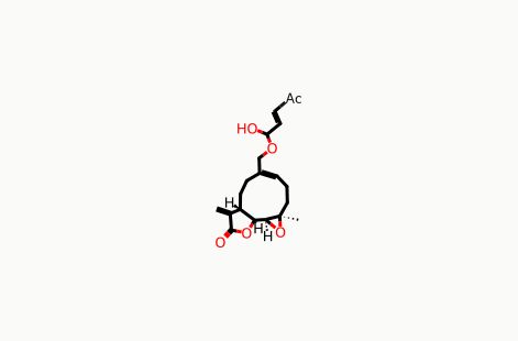 C=C1C(=O)O[C@H]2[C@H]1CC/C(COC(O)/C=C/C(C)=O)=C\CC[C@@]1(C)O[C@@H]21